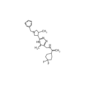 C=C1NC(C2CN(Cc3ccccc3)CC2C)=NN=C1CNC(=C)C1CCC(F)(F)CC1